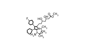 COC(=O)CC(O)CC(O)CCc1c(-c2ccc(F)cc2)c(-c2ccccc2)c(C(N)C(C)=O)n1C(C)C